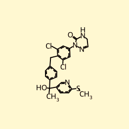 CSc1ccc(C(C)(O)c2ccc(Cc3c(Cl)cc(N4N=CCNC4=O)cc3Cl)cc2)cn1